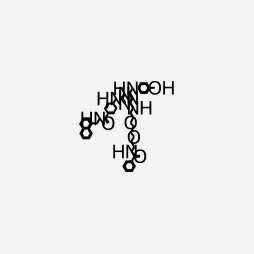 O=C(NCc1cccc2ccccc12)C1=CCC(Nc2nc(NCCOCCOCCNC(=O)c3ccccc3)nc(Nc3ccc(O)cc3)n2)C=C1